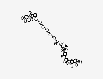 Nc1ncc(-c2ccc(S(=O)(=O)N(CCCNC(=O)CCOCCOCCOCCOCCOCCOc3cccc4c3C(=O)N(C3CCC(=O)NC3=O)C4=O)C3CC3)cc2F)cc1-c1ccc2c(c1)CCNC2=O